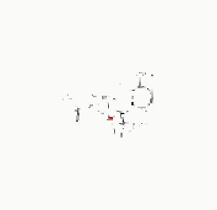 COc1ccc2c(c1)C13CCNC(C2)C12CCC1C3[C@@H](CN1C(=O)C(F)(F)F)C2